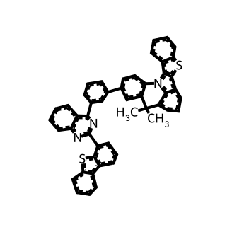 CC1(C)c2cc(-c3cccc(-c4nc(-c5cccc6c5sc5ccccc56)nc5ccccc45)c3)ccc2-n2c3c1cccc3c1sc3ccccc3c12